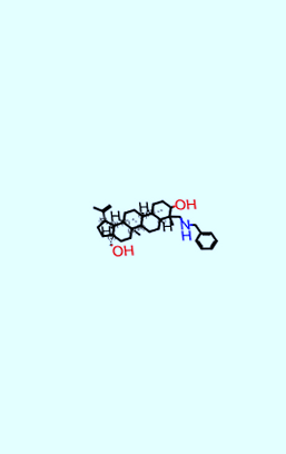 C=C(C)[C@@H]1CC[C@]2(CO)CC[C@]3(C)[C@H](CC[C@@H]4[C@@]5(C)CCC(O)C(C)(CNCc6ccccc6)[C@@H]5CC[C@]43C)[C@@H]12